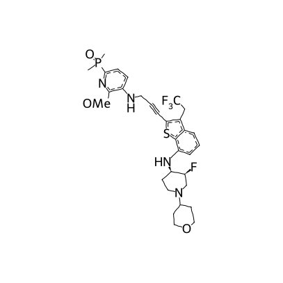 COc1nc(P(C)(C)=O)ccc1NCC#Cc1sc2c(N[C@@H]3CCN(C4CCOCC4)C[C@@H]3F)cccc2c1CC(F)(F)F